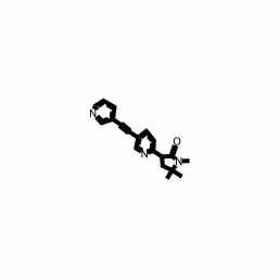 CN1C(=O)C(c2ccc(C#Cc3cccnc3)cn2)CC1(C)C